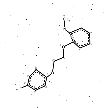 CNc1ccccc1OCCOc1ccc(I)cc1